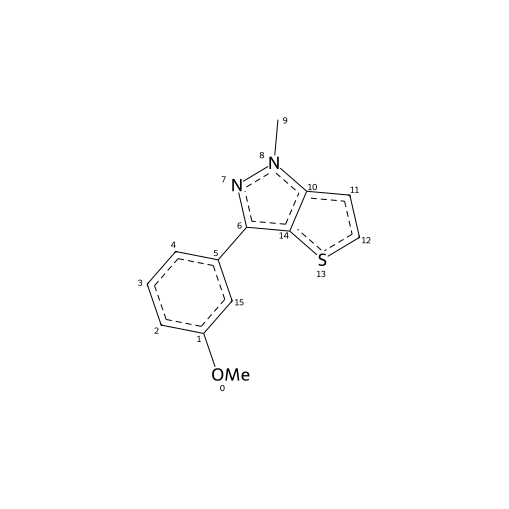 COc1cccc(-c2nn(C)c3ccsc23)c1